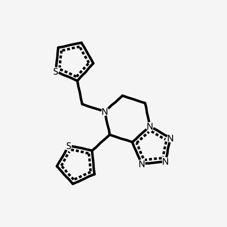 c1csc(CN2CCn3nnnc3C2c2cccs2)c1